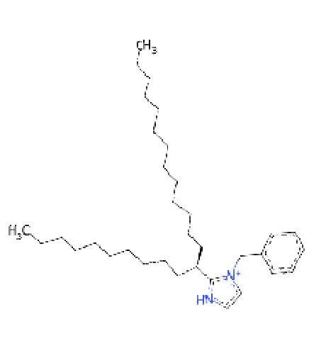 CCCCCCCCCCCCC[C@H](CCCCCCCCCC)c1[nH]cc[n+]1Cc1ccccc1